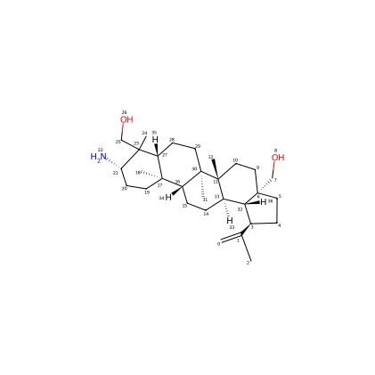 C=C(C)[C@@H]1CC[C@]2(CO)CC[C@]3(C)[C@H](CC[C@@H]4[C@@]5(C)CC[C@H](N)C(C)(CO)[C@@H]5CC[C@]43C)[C@@H]12